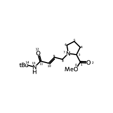 COC(=O)C1CCCN1C/C=C/C(=O)NC(C)(C)C